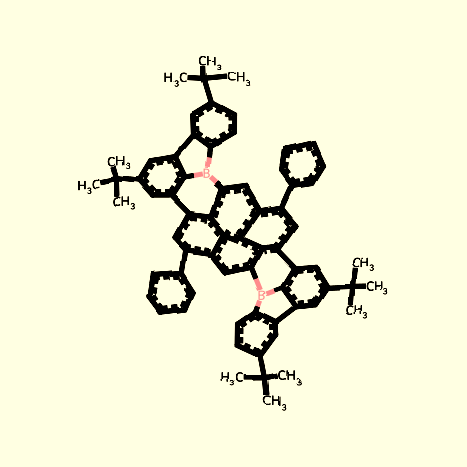 CC(C)(C)c1ccc2c(c1)-c1cc(C(C)(C)C)cc3c1B2c1cc2c(-c4ccccc4)cc4c5c(cc6c(-c7ccccc7)cc-3c1c6c25)B1c2ccc(C(C)(C)C)cc2-c2cc(C(C)(C)C)cc-4c21